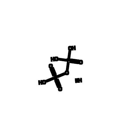 O=P(O)(O)OS(=O)(=O)O.[KH]